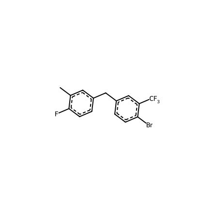 Cc1cc(Cc2ccc(Br)c(C(F)(F)F)c2)ccc1F